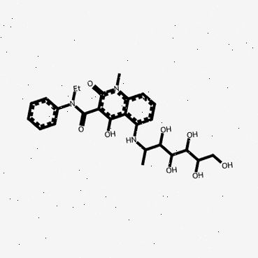 CCN(C(=O)c1c(O)c2c(NC(C)C(O)C(O)C(O)C(O)CO)cccc2n(C)c1=O)c1ccccc1